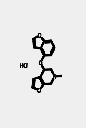 CN1Cc2occc2C(Oc2cccc3occc23)C1.Cl